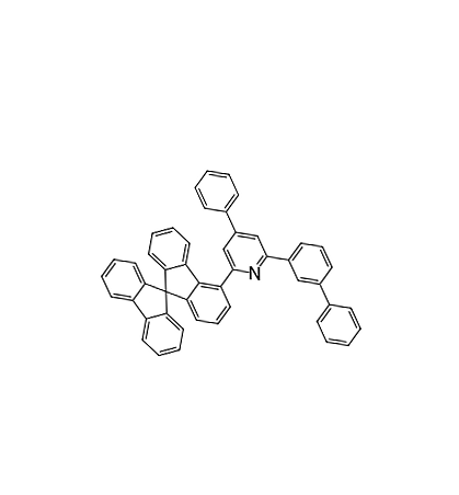 c1ccc(-c2cccc(-c3cc(-c4ccccc4)cc(-c4cccc5c4-c4ccccc4C54c5ccccc5-c5ccccc54)n3)c2)cc1